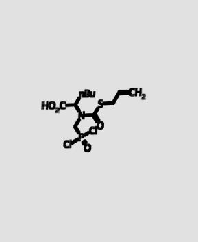 C=CCSC(=O)N(CP(=O)(Cl)Cl)C(CCCC)C(=O)O